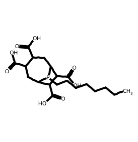 CCCCCCCCP1C2CC(C(=O)O)C(C(=O)O)CC1C(C(=O)O)C2C(=O)O